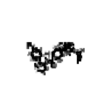 CC(C)N1CCN(c2ncccc2NC(=O)N2CCC(C)(c3noc([C@@H]4C[C@@H]4F)n3)CC2)CC1